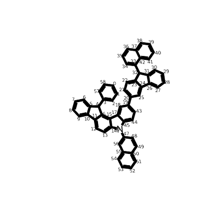 c1ccc(C2c3ccccc3-c3ccc4c(c32)c2cc(-c3ccc5c(c3)-c3ccccc3C5c3cccc5ccccc35)ccc2n4-c2ccc3ccccc3c2)cc1